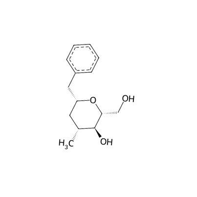 C[C@@H]1C[C@H](Cc2ccccc2)O[C@H](CO)[C@H]1O